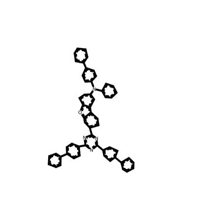 c1ccc(-c2ccc(-c3nc(-c4ccc(-c5ccccc5)cc4)nc(-c4ccc5c(c4)oc4ccc(N(c6ccccc6)c6ccc(-c7ccccc7)cc6)cc45)n3)cc2)cc1